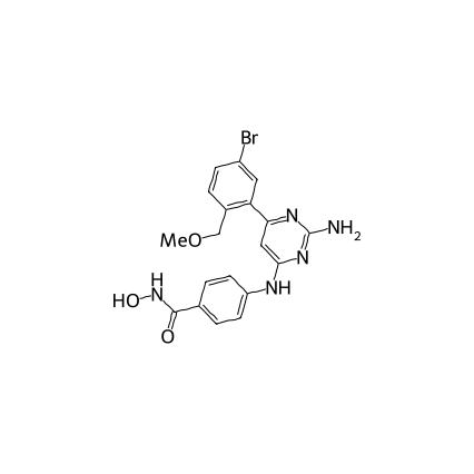 COCc1ccc(Br)cc1-c1cc(Nc2ccc(C(=O)NO)cc2)nc(N)n1